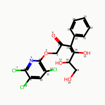 O=C(COc1nc(Cl)c(Cl)cc1Cl)C(=C(O)C(O)CO)c1ccccc1